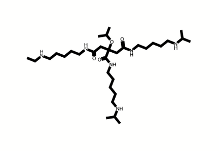 CCNCCCCCNC(=O)CC(CC(=O)NCCCCCNC(C)C)(OC(C)C)C(=O)NCCCCCNC(C)C